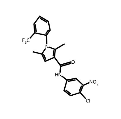 Cc1cc(C(=O)Nc2ccc(Cl)c([N+](=O)[O-])c2)c(C)n1-c1ccccc1C(F)(F)F